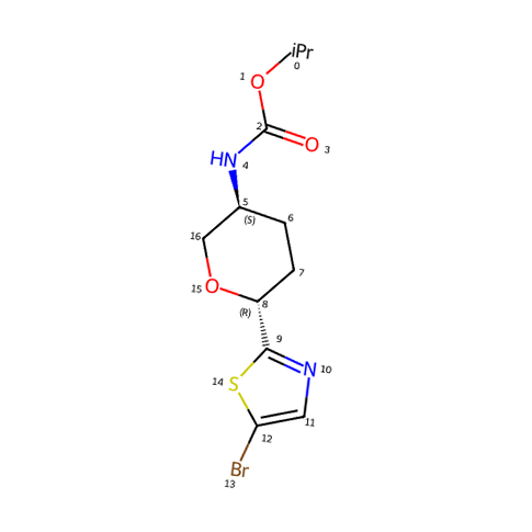 CC(C)OC(=O)N[C@H]1CC[C@H](c2ncc(Br)s2)OC1